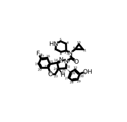 O=C(N(C1CCNCC1)C1CC1)N1N=C2c3cc(F)ccc3OC[C@H]2[C@H]1c1cccc(O)c1